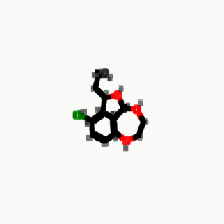 O=[N+]([O-])CC1OB2OCCOc3ccc(Cl)c1c32